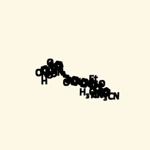 CCc1cc2c(cc1N1CCC(N3CCN(C(=O)CCCNc4cccc5c4C(=O)N(C4CCC(=O)NC4=O)C5=O)CC3)CC1)C(C)(C)c1[nH]c3cc(C#N)ccc3c1C2=O